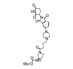 CC(C)(C)OC(=O)N[C@@H]1CCN(C(=O)CCCN2CCN(c3ccc4c(c3)C(=O)N(C3CCC(=O)NC3=O)C4=O)CC2)C1